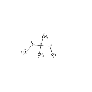 CSC(C)(C)CO